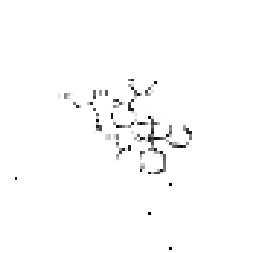 COC(=O)C1=CC(O[Si](c2ccccc2)(c2ccccc2)C(C)(C)C)C(NC(C)=O)C(C(O)C(O)CO)O1